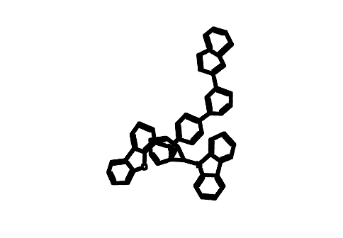 C1=CC2C(n3c4ccccc4c4ccccc43)C2(N(c2ccc(-c3cccc(-c4ccc5ccccc5c4)c3)cc2)c2cccc3c2oc2ccccc23)C=C1